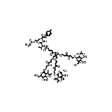 [CH2]c1ccc(NC(=O)[C@H](CCCNC(N)=O)NC(=O)[C@@H](NC(=O)CCCC(=O)NC(COCCC(=O)NCCOC2O[C@H](CO)[C@H](O)[C@H](O)[C@H]2NC(C)=O)(COCCC(=O)NCCOC2O[C@H](CO)[C@H](O)[C@H](O)[C@H]2NC(C)=O)COCCC(=O)NCCO[C@@H]2O[C@H](CO)[C@H](O)[C@H](O)[C@H]2NC(C)=O)C(C)C)cc1